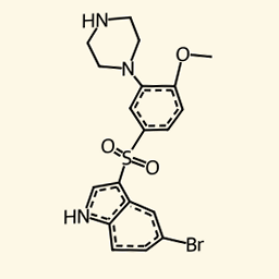 COc1ccc(S(=O)(=O)c2c[nH]c3ccc(Br)cc23)cc1N1CCNCC1